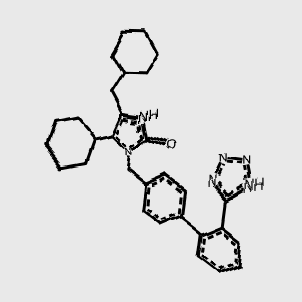 O=c1[nH]c(CC2CCCCC2)c(C2CCCCC2)n1Cc1ccc(-c2ccccc2-c2nnn[nH]2)cc1